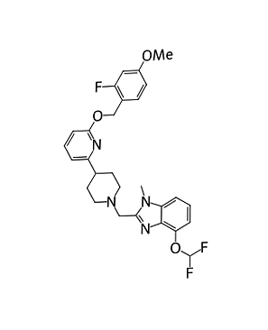 COc1ccc(COc2cccc(C3CCN(Cc4nc5c(OC(F)F)cccc5n4C)CC3)n2)c(F)c1